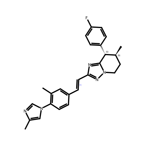 Cc1cn(-c2ccc(/C=C/c3nc4n(n3)CC[C@H](C)[C@H]4c3ccc(F)cc3)cc2C)cn1